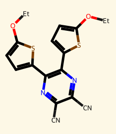 CCOc1ccc(-c2nc(C#N)c(C#N)nc2-c2ccc(OCC)s2)s1